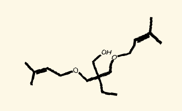 CCC(CO)(COCC=C(C)C)COCC=C(C)C